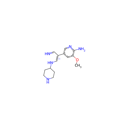 COc1cc(/C(C=N)=C/NC2CCNCC2)cnc1N